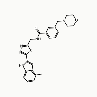 Cc1cccc2[nH]c(-c3nnc(CNC(=O)c4cccc(CN5CCOCC5)c4)s3)cc12